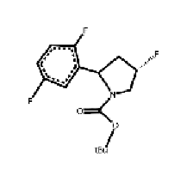 CC(C)(C)OC(=O)N1C[C@@H](F)CC1c1cc(F)ccc1F